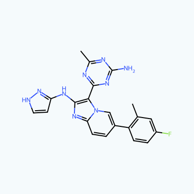 Cc1nc(N)nc(-c2c(Nc3cc[nH]n3)nc3ccc(-c4ccc(F)cc4C)cn23)n1